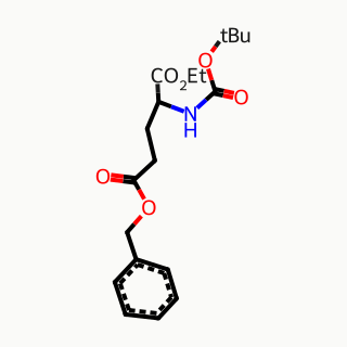 CCOC(=O)C(CCC(=O)OCc1ccccc1)NC(=O)OC(C)(C)C